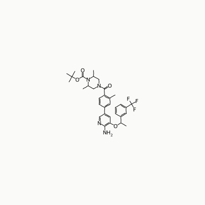 Cc1cc(-c2cnc(N)c(OC(C)c3cccc(C(F)(F)F)c3)c2)ccc1C(=O)N1CC(C)N(C(=O)OC(C)(C)C)C(C)C1